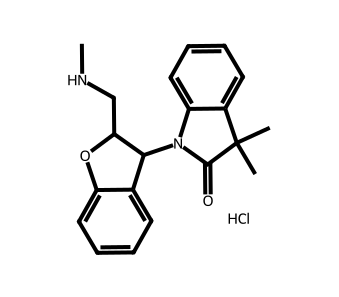 CNCC1Oc2ccccc2C1N1C(=O)C(C)(C)c2ccccc21.Cl